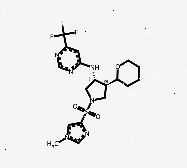 Cn1cnc(S(=O)(=O)N2C[C@H](Nc3cc(C(F)(F)F)ncn3)[C@@H](C3CCCCO3)C2)c1